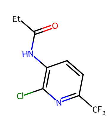 CCC(=O)Nc1ccc(C(F)(F)F)nc1Cl